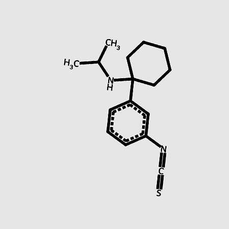 CC(C)NC1(c2cccc(N=C=S)c2)CCCCC1